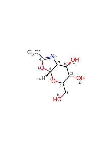 OCC1O[C@@H]2OC(C(Cl)(Cl)Cl)=NC2[C@@H](O)[C@@H]1O